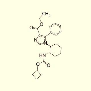 CCOC(=O)c1ncn([C@H]2CCCC[C@@H]2NC(=O)OC2CCC2)c1-c1ccccc1